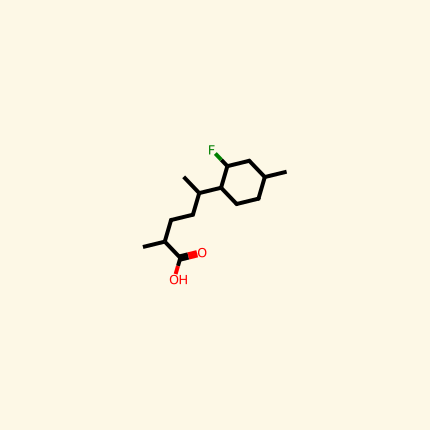 CC1CCC(C(C)CCC(C)C(=O)O)C(F)C1